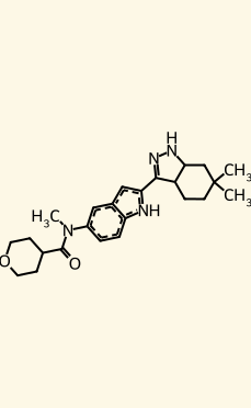 CN(C(=O)C1CCOCC1)c1ccc2[nH]c(C3=NNC4CC(C)(C)CCC34)cc2c1